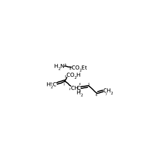 C=C(C)C(=O)O.C=CC=C.CCOC(N)=O